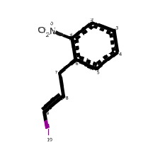 O=[N+]([O-])c1ccccc1CC=CI